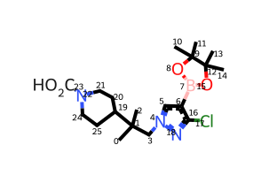 CC(C)(Cn1cc(B2OC(C)(C)C(C)(C)O2)c(Cl)n1)C1CCN(C(=O)O)CC1